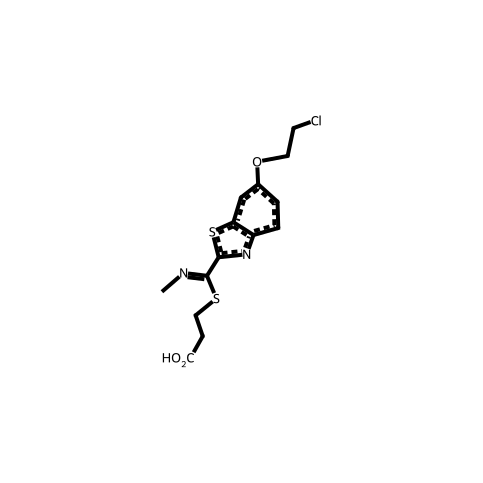 C/N=C(\SCCC(=O)O)c1nc2ccc(OCCCl)cc2s1